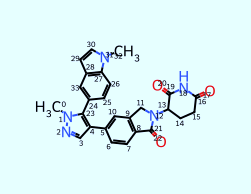 Cn1ncc(-c2ccc3c(c2)CN(C2CCC(=O)NC2=O)C3=O)c1-c1ccc2c(ccn2C)c1